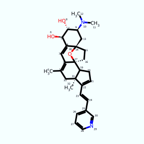 CC1=C2C=C3[C@@H](O)[C@H](O)[C@@H](N(C)C)C[C@]34CC[C@]2(O4)C2CC=C(/C=C/c3cccnc3)[C@@]2(C)C1